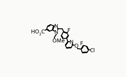 COCCn1c(Cc2ccc(-c3cccc(OCc4ccc(Cl)cc4F)n3)cc2F)nc2ccc(C(=O)O)cc21